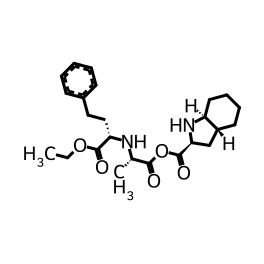 CCOC(=O)[C@H](CCc1ccccc1)N[C@@H](C)C(=O)OC(=O)[C@@H]1C[C@H]2CCCC[C@@H]2N1